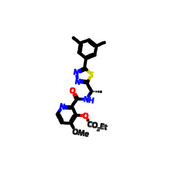 CCOC(=O)Oc1c(OC)ccnc1C(=O)N[C@@H](C)c1nnc(-c2cc(C)cc(C)c2)s1